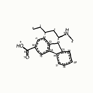 CCCCCNC.O=C(O)c1ccc2c(c1)-c1ccccc1C2